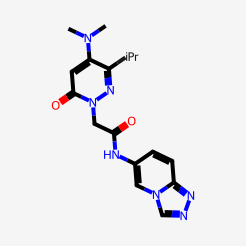 CC(C)c1nn(CC(=O)Nc2ccc3nncn3c2)c(=O)cc1N(C)C